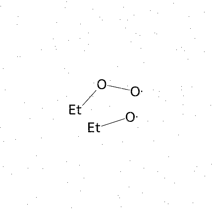 CCO[O].CC[O]